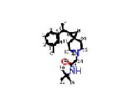 Cc1cccc(C(C)C2CC23CCN(CC(=O)NC(C)(C)C)CC3)c1